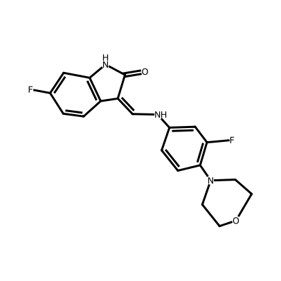 O=C1Nc2cc(F)ccc2C1=CNc1ccc(N2CCOCC2)c(F)c1